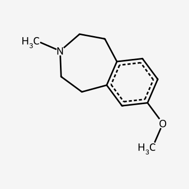 COc1ccc2c(c1)CCN(C)CC2